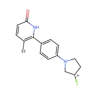 CCc1ccc(=O)[nH]c1-c1ccc(N2CC[C@@H](F)C2)cc1